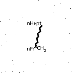 C=C(CCC)CCCCCCCCCCCCCCC